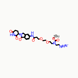 CC(C)(C)OC(=O)N(CCN=[N+]=[N-])CCOCCOCCC(=O)Nc1ccc2c(c1)CN(C1CCC(=O)NC1=O)C2=O